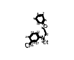 CCN(CCOc1ccccc1)c1cccc(Cl)c1